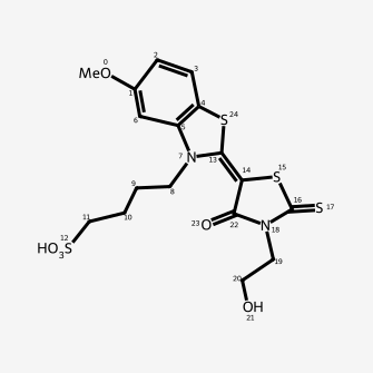 COc1ccc2c(c1)N(CCCCS(=O)(=O)O)C(=C1SC(=S)N(CCO)C1=O)S2